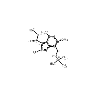 COc1cc(C)c2c(cc(C)n2C(=O)OC(C)(C)C)c1CO[Si](C)(C)C(C)(C)C